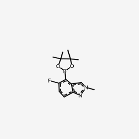 Cn1cc2c(B3OC(C)(C)C(C)(C)O3)c(F)ccc2n1